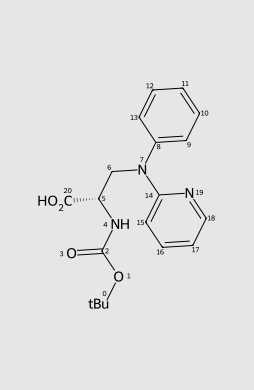 CC(C)(C)OC(=O)N[C@@H](CN(c1ccccc1)c1ccccn1)C(=O)O